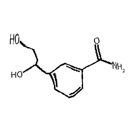 NC(=O)c1cccc(C(O)CO)c1